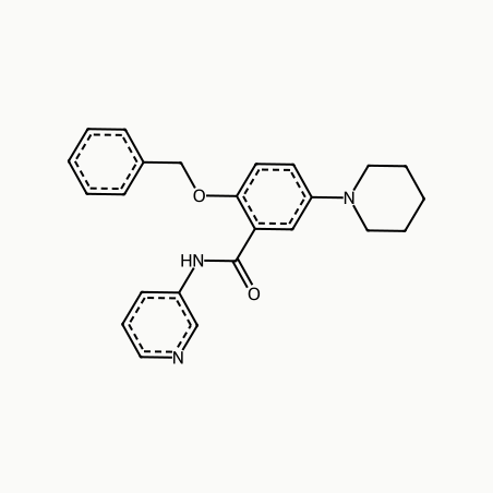 O=C(Nc1cccnc1)c1cc(N2CCCCC2)ccc1OCc1ccccc1